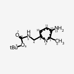 Cc1nc(CNC(=O)OC(C)(C)C)ccc1N